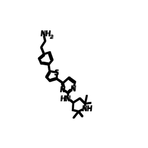 CC1(C)CC(Nc2nccc(-c3ccc(-c4ccc(CCN)cc4)s3)n2)CC(C)(C)N1